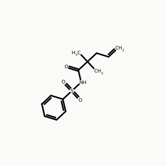 C=CCC(C)(C)C(=O)NS(=O)(=O)c1ccccc1